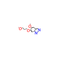 COCCCOc1cc2ncncc2cc1OC